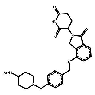 CC(=O)NC1CCN(Cc2ccc(COc3cccc4c3CN(C3CCC(=O)NC3=O)C4=O)cc2)CC1